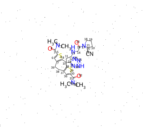 CN(C)C(=O)c1cc2c(s1)C(CCNCC(=O)N1CCC[C@H]1C#N)(c1nn[nH]n1)c1sc(C(=O)N(C)C)cc1CC2